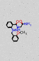 COc1ccccc1CN1NN(CC(N)=O)C(=O)c2ccccc21